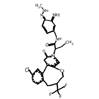 CCC(C(=O)NC1=CC(=N)/C(=N\NC)C=C1)n1cc2c(cc1=O)-c1cc(Cl)ccc1CC(C(F)(F)F)CO2